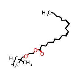 CCCCC/C=C\C/C=C\CCCCCCCC(=O)OCCOCC(C)(C)C